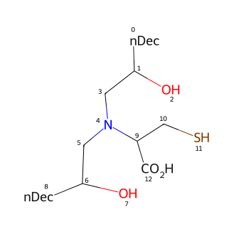 CCCCCCCCCCC(O)CN(CC(O)CCCCCCCCCC)C(CS)C(=O)O